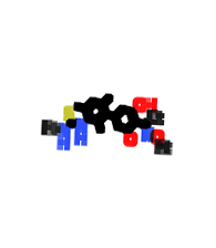 CCNC(=S)Nc1c(C)cc(C)c(C2CC(=O)C(C(CC)=NOCC)=C(O)C2)c1C